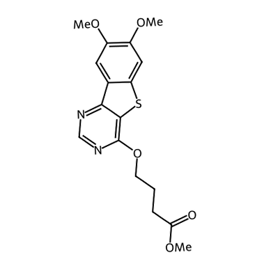 COC(=O)CCCOc1ncnc2c1sc1cc(OC)c(OC)cc12